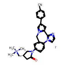 C[N+](C)(C)C[C@H]1CC(=O)N(c2ccc3c(c2)Cn2cc(-c4ccc(C#N)cc4)cc2-c2nccn2-3)C1.[I-]